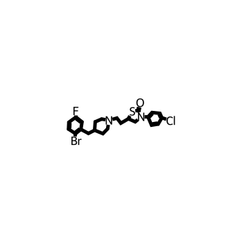 O=C1SC(CCN2CCC(Cc3cc(F)ccc3Br)CC2)CN1c1ccc(Cl)cc1